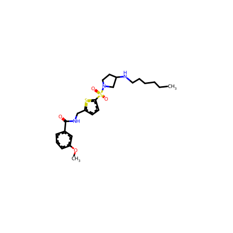 CCCCCCNC1CCN(S(=O)(=O)c2ccc(CNC(=O)c3cccc(OC)c3)s2)C1